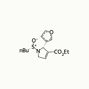 CCCC[S@+]([O-])N1CC=C(C(=O)OCC)[C@H]1c1ccoc1